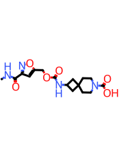 CNC(=O)c1cc(COC(=O)NC2CC3(CCN(C(=O)O)CC3)C2)on1